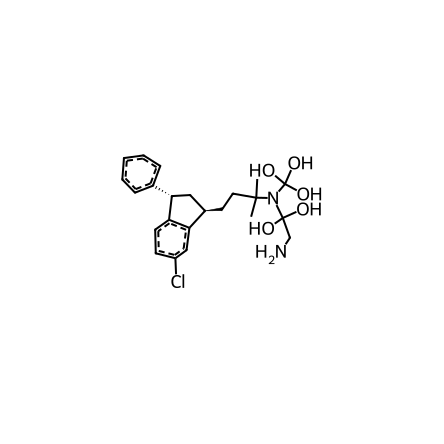 CC(C)(CC[C@@H]1C[C@@H](c2ccccc2)c2ccc(Cl)cc21)N(C(O)(O)O)C(O)(O)CN